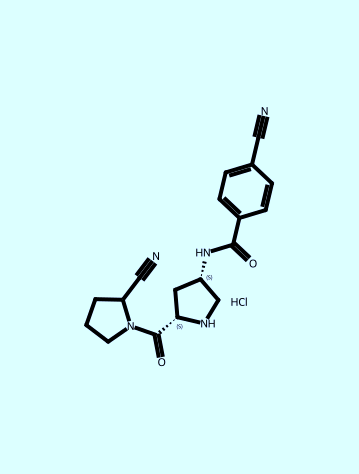 Cl.N#Cc1ccc(C(=O)N[C@@H]2CN[C@H](C(=O)N3CCCC3C#N)C2)cc1